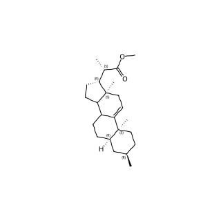 COC(=O)[C@@H](C)[C@H]1CCC2C3CC[C@@H]4C[C@H](C)CC[C@]4(C)C3=CC[C@@]21C